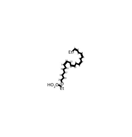 CC/C=C\C/C=C\C/C=C\C/C=C\C/C=C\CCCCCCOC(CC)C(=O)O